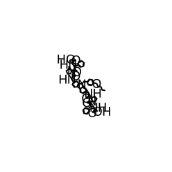 CCCCOc1ccc(Cn2c3cc(NC(=O)[C@@H]4CCCN4C(=O)C(NC(=O)O)c4ccccc4)ccc3c3ccc(NC(=O)[C@@H]4CCCN4C(=O)C(NC(=O)O)c4ccccc4)cc32)cc1